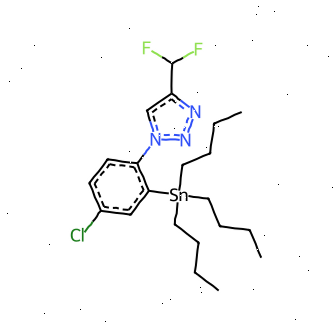 CCC[CH2][Sn]([CH2]CCC)([CH2]CCC)[c]1cc(Cl)ccc1-n1cc(C(F)F)nn1